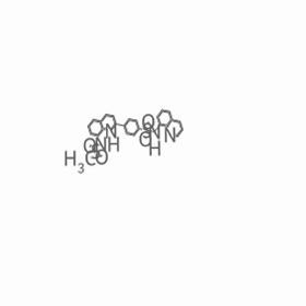 CS(=O)(=O)Nc1cccc2ccc(-c3ccc(S(=O)(=O)Nc4cccc5cccnc45)cc3)nc12